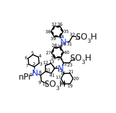 CCCN(C1CCCCC1)C(CS(=O)(=O)O)C1CCC(N(C2CCCCC2)C(CS(=O)(=O)O)c2cccc(N(CCS(=O)(=O)O)c3ccccc3)c2)C1